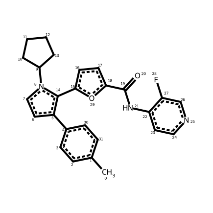 Cc1ccc(-c2ccn(C3CCCC3)c2-c2ccc(C(=O)Nc3ccncc3F)o2)cc1